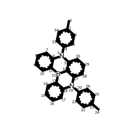 Cc1ccc(N2c3ccccc3B3c4ccccc4N(c4ccc(C)cc4)c4cccc2c43)cc1